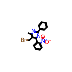 Cc1nc(-c2ccccc2)nc(-c2ccccc2[N+](=O)[O-])c1CBr